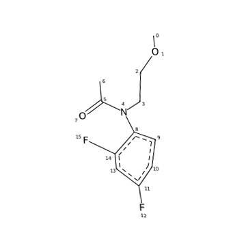 COCCN(C(C)=O)c1ccc(F)cc1F